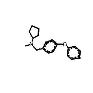 CN(Cc1ccc(Oc2ccccc2)cc1)C1CCCC1